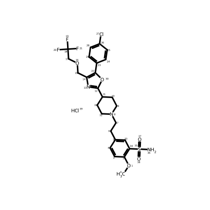 COc1ccc(CCN2CCC(c3nc(COCC(F)(F)F)c(-c4ccc(Cl)cc4)o3)CC2)cc1S(N)(=O)=O.Cl